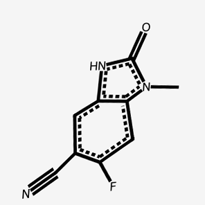 Cn1c(=O)[nH]c2cc(C#N)c(F)cc21